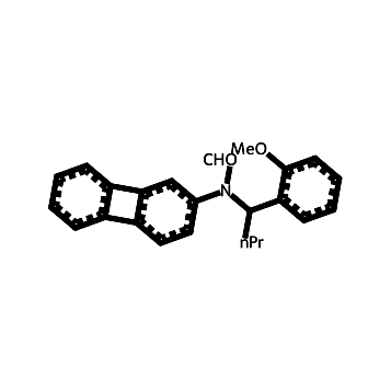 [CH2]CCC(c1ccccc1OC)N(C=O)c1ccc2c(c1)-c1ccccc1-2